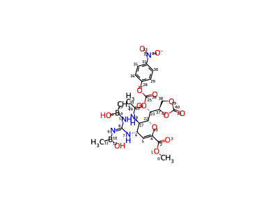 COC(=O)C1=C[C@H](N/C(=N\B(C)O)NB(C)O)[C@@H](NC(C)=O)[C@H]([C@H](OC(=O)Oc2ccc([N+](=O)[O-])cc2)[C@H]2COC(=O)O2)O1